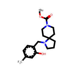 CC(C)(C)OC(=O)N1CCC2(CCCN2Cc2ccc(C(F)(F)F)cc2O)CC1